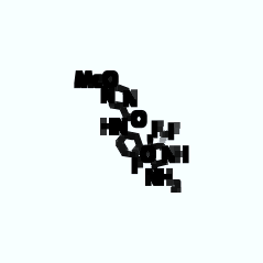 COc1cnc(C(=O)Nc2ccc(F)c([C@@]3(C)OC(N)CN[C@H]3C(F)F)c2)cn1